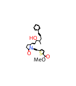 COC(=O)c1ccc(C#CN2C(=O)CCC2/C=C/C(O)C(C)CC#Cc2ccccc2)s1